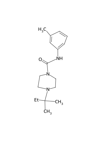 CCC(C)(C)N1CCN(C(=O)Nc2cccc(C)c2)CC1